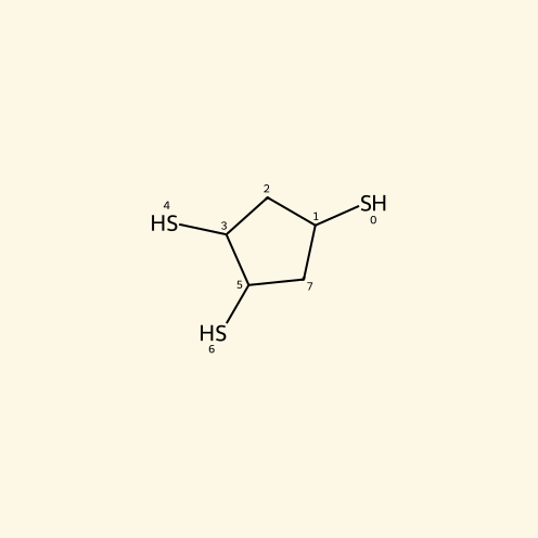 SC1CC(S)C(S)C1